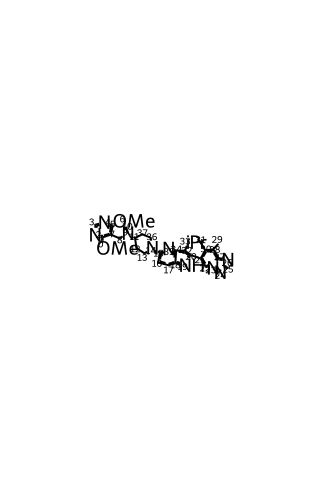 COc1ncnc(OC)c1CN(C)C1CCN(c2ccc3[nH]c(-c4cn5ncnc5c(C)c4C)c(C(C)C)c3n2)CC1